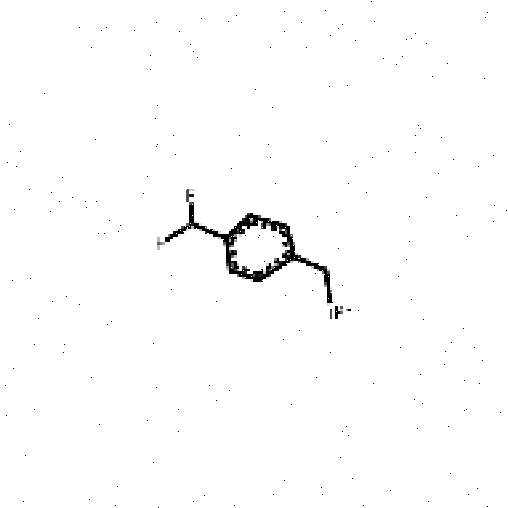 CC(C)Cc1ccc(C(F)F)cc1